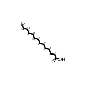 O=C(O)C=CCCCCCCCCCCBr